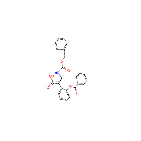 O=C(NC[C@H](C(=O)O)c1ccccc1OC(=O)c1ccccc1)OCc1ccccc1